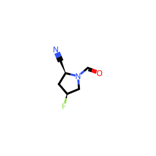 N#C[C@@H]1C[C@H](F)CN1C=O